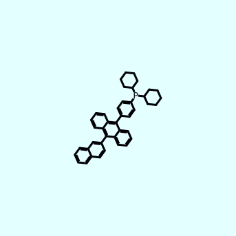 c1ccc2cc(-c3c4ccccc4c(-c4ccc(P(C5CCCCC5)C5CCCCC5)cc4)c4ccccc34)ccc2c1